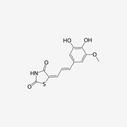 COc1cc(C=CC=C2SC(=O)NC2=O)cc(O)c1O